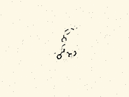 CSc1ccc(OC(F)F)c(-c2nn(CC(=O)N3CCC(CN4CCN(CC(=O)N(C)C)C[C@H]4C)CC3)cc2NC(=O)c2cnn3cccnc23)c1